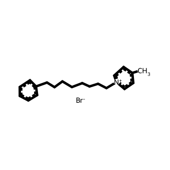 Cc1cc[n+](CCCCCCCCc2ccccc2)cc1.[Br-]